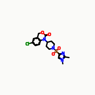 Cc1nc(S(=O)(=O)N2CCC(N3C(=O)OCc4cc(Cl)ccc43)CC2)cn1C